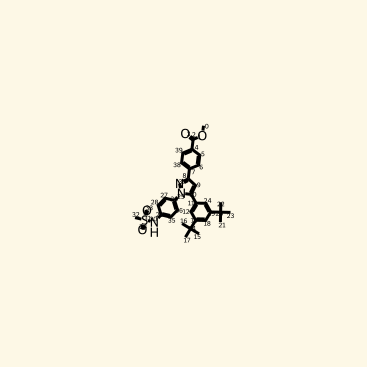 COC(=O)c1ccc(-c2cc(-c3cc(C(C)(C)C)cc(C(C)(C)C)c3)n(-c3ccc(NS(C)(=O)=O)cc3)n2)cc1